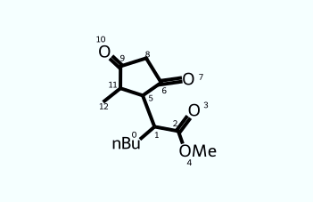 CCCCC(C(=O)OC)C1C(=O)CC(=O)C1C